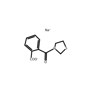 O=C([O-])c1ccccc1C(=O)N1CCSC1.[Na+]